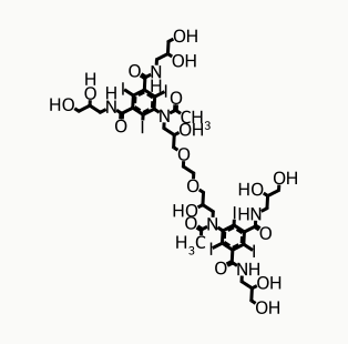 CC(=O)N(CC(O)COCCOCC(O)CN(C(C)=O)c1c(I)c(C(=O)NCC(O)CO)c(I)c(C(=O)NCC(O)CO)c1I)c1c(I)c(C(=O)NCC(O)CO)c(I)c(C(=O)NCC(O)CO)c1I